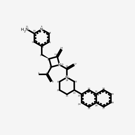 C=C(C)C1[C@@H](Cc2ccnc(N)c2)C(=C)N1C(=C)N1CCCC(c2ccc3ccccc3c2)C1